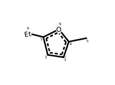 CCc1c[c]c(C)o1